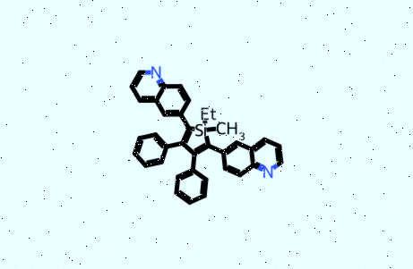 CC[Si]1(C)C(c2ccc3ncccc3c2)=C(c2ccccc2)C(c2ccccc2)=C1c1ccc2ncccc2c1